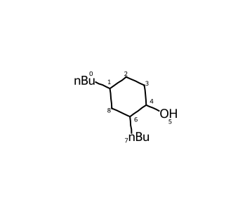 CCCCC1CCC(O)C(CCCC)C1